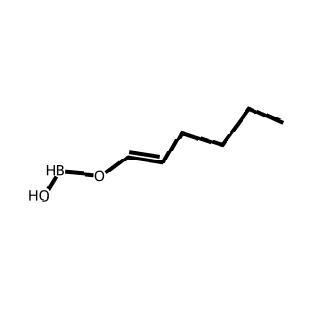 CCCC/C=C/OBO